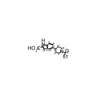 CCC(=O)N1CCC(c2ccc3[nH]c(C(=O)O)cc3c2)CC1